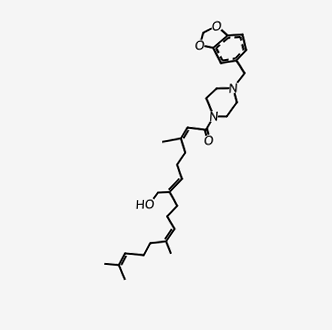 CC(C)=CCCC(C)=CCCC(=CCCC(C)=CC(=O)N1CCN(Cc2ccc3c(c2)OCO3)CC1)CO